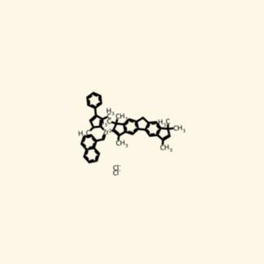 CC1=CC(C)(C)c2cc3c(cc21)-c1cc2c(cc1C3)C(C)(C)[C]([Zr+2](=[CH]c1cccc3ccccc13)[C]1=C(C)C(c3ccccc3)=CC1C)=C2C.[Cl-].[Cl-]